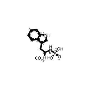 O=C(O)C(Cc1c[nH]c2ccccc12)NP(=O)(O)O